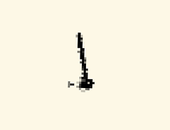 CCCCCCCCCCCCCCCCCCc1cccc(C)c1S(=O)(=O)O